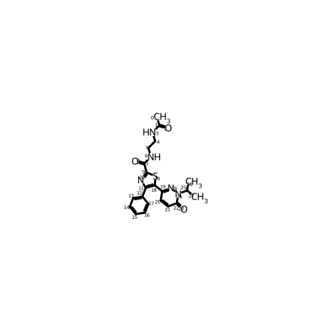 CC(=O)NCCNC(=O)c1nc(-c2ccccc2)c(-c2ccc(=O)n(C(C)C)n2)s1